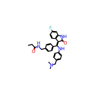 CCC(=O)NCc1ccc(/C(Nc2ccc(CN(C)C)cc2)=C2/C(=O)Nc3cc(F)ccc32)cc1